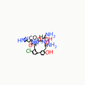 NC[C@H](O)C[C@@H]1NC(=O)[C@@H](N)Cc2cc(ccc2O)-c2ccc(Cl)c(c2)C[C@@H](C(=O)N[C@@H](Cc2c[nH]cn2)C(=O)O)NC1=O